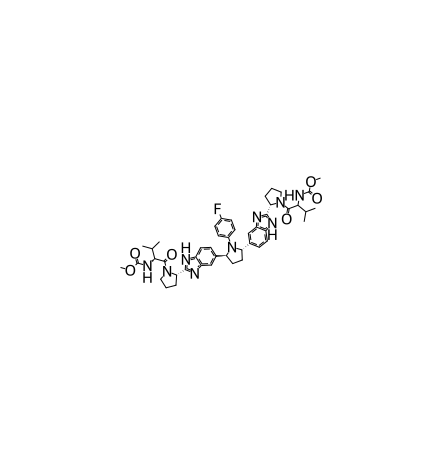 COC(=O)NC(C(=O)N1CCC[C@H]1c1nc2cc([C@@H]3CC[C@@H](c4ccc5[nH]c([C@@H]6CCCN6C(=O)[C@@H](NC(=O)OC)C(C)C)nc5c4)N3c3ccc(F)cc3)ccc2[nH]1)C(C)C